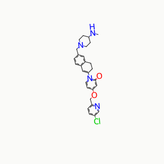 CNC1CCN(Cc2ccc3c(c2)CCC(n2ccc(OCc4ccc(Cl)cn4)cc2=O)=C3)CC1